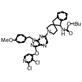 COc1ccc(Cn2nc(Oc3ccnc(Cl)c3Cl)c3ncc(N4CCC5(CC4)Cc4ccccc4C5NC(=O)OC(C)(C)C)nc32)cc1